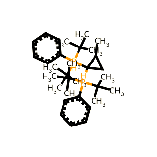 CC1CC1([PH](c1ccccc1)(C(C)(C)C)C(C)(C)C)[PH](c1ccccc1)(C(C)(C)C)C(C)(C)C